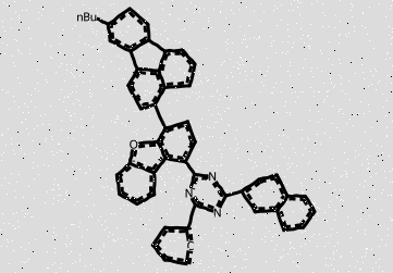 CCCCc1ccc2c(c1)-c1ccc(-c3ccc(-c4nc(-c5ccccc5)nc(-c5ccc6ccccc6c5)n4)c4c3oc3ccccc34)c3cccc-2c13